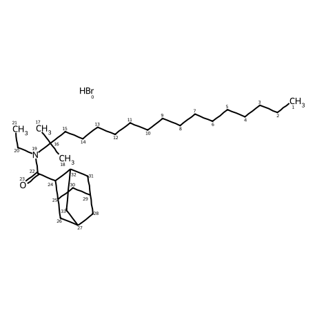 Br.CCCCCCCCCCCCCCCC(C)(C)N(CC)C(=O)C1C2CC3CC(C2)CC1C3